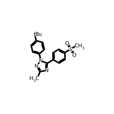 Cc1nc(-c2ccc(S(C)(=O)=O)cc2)n(-c2ccc(C(C)(C)C)cc2)n1